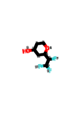 OC1CCOC(C(F)C(F)F)C1